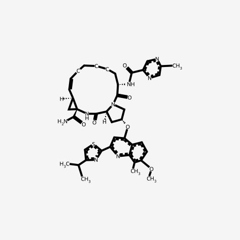 COc1ccc2c(O[C@@H]3C[C@H]4C(=O)N[C@]5(C(N)=O)C[C@H]5/C=C\CCCCC[C@H](NC(=O)c5cnc(C)cn5)C(=O)N4C3)cc(-c3nc(C(C)C)cs3)nc2c1C